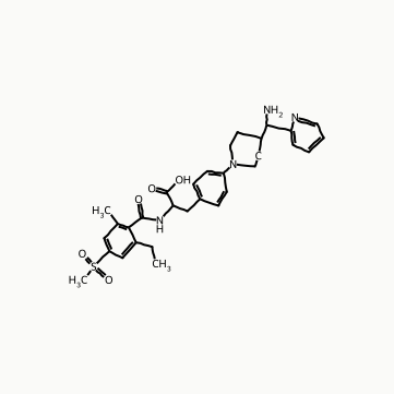 CCc1cc(S(C)(=O)=O)cc(C)c1C(=O)NC(Cc1ccc(N2CCC(C(N)c3ccccn3)CC2)cc1)C(=O)O